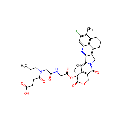 CCCN(CC(=O)NCC(=O)O[C@]1(CC)C(=O)OCc2c1cc1n(c2=O)Cc2c-1nc1cc(F)c(C)c3c1c2CCC3)C(=O)CCC(=O)O